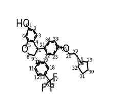 Oc1ccc2c(c1)OC[C@@H](c1ccc(C(F)(F)F)cc1)[C@@H]2c1ccc(OCCN2CCCC2)cc1